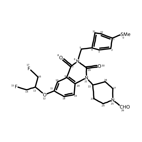 CSc1ccc(Cn2c(=O)c3cc(OC(CF)CF)ccc3n(C3CCN(C=O)CC3)c2=O)cc1